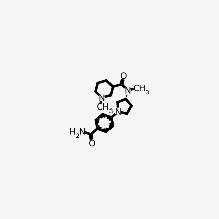 CN1CCCC(C(=O)N(C)[C@@H]2CCN(c3ccc(C(N)=O)cc3)C2)C1